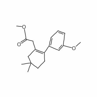 COC(=O)CC1=C(c2cccc(OC)c2)CCC(C)(C)C1